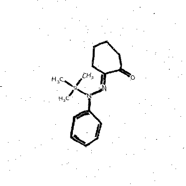 C[Si](C)(C)N(N=C1CCCCC1=O)c1ccccc1